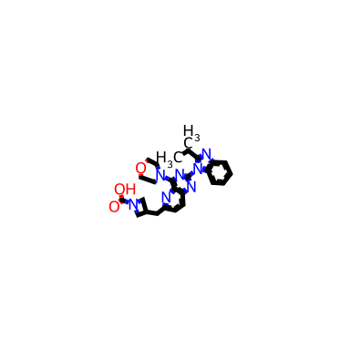 CC(C)c1nc2ccccc2n1-c1nc(N2CCOCC2)c2nc(CC3CN(C(=O)O)C3)ccc2n1